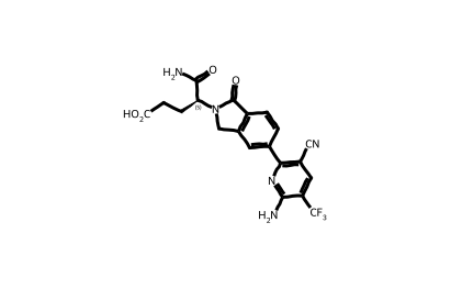 N#Cc1cc(C(F)(F)F)c(N)nc1-c1ccc2c(c1)CN([C@@H](CCC(=O)O)C(N)=O)C2=O